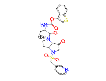 CC(C)(C)CC(NC(=O)Oc1csc2ccccc12)C(=O)N1CCC2C1C(=O)CN2S(=O)(=O)Cc1cccnc1